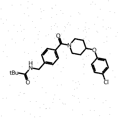 CC(C)(C)C(=O)NCc1ccc(C(=O)N2CCC(Oc3ccc(Cl)cc3)CC2)cc1